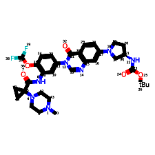 CN1CCN(C2(C(=O)Nc3cc(-n4cnc5cc(N6CC[C@@H](NC(=O)OC(C)(C)C)C6)ccc5c4=O)ccc3OC(F)F)CC2)CC1